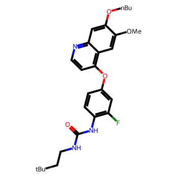 CCCCOc1cc2nccc(Oc3ccc(NC(=O)NCCC(C)(C)C)c(F)c3)c2cc1OC